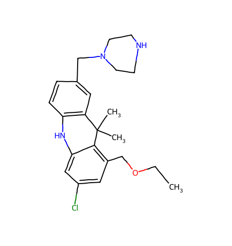 CCOCc1cc(Cl)cc2c1C(C)(C)c1cc(CN3CCNCC3)ccc1N2